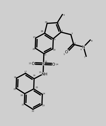 CC1=C(CC(=O)N(C)C)c2cc(S(=O)(=O)Nc3cccc4ccccc34)ccc2C1